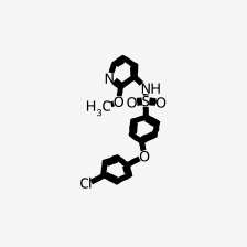 COc1ncccc1NS(=O)(=O)c1ccc(Oc2ccc(Cl)cc2)cc1